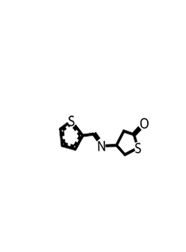 O=C1CC(N=Cc2cccs2)CS1